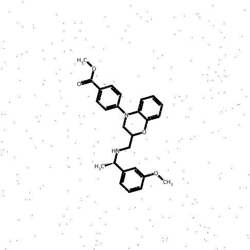 COC(=O)c1ccc(N2CC(CN[C@H](C)c3cccc(OC)c3)Oc3ccccc32)cc1